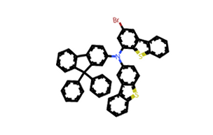 Brc1cc(N(c2ccc3c(c2)C(c2ccccc2)(c2ccccc2)c2ccccc2-3)c2ccc3sc4ccccc4c3c2)c2sc3ccccc3c2c1